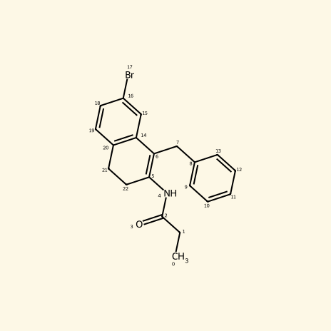 CCC(=O)NC1=C(Cc2ccccc2)c2cc(Br)ccc2CC1